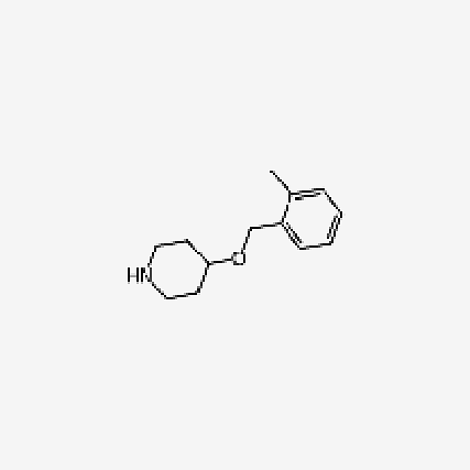 Cc1ccccc1COC1CCNCC1